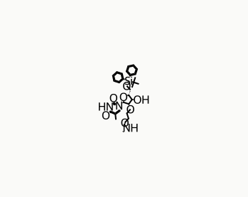 CNOCCO[C@@H]1[C@H](O)[C@@H](CO[Si](c2ccccc2)(c2ccccc2)C(C)(C)C)O[C@H]1n1cc(C)c(=O)[nH]c1=O